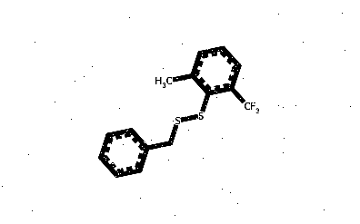 Cc1cccc(C(F)(F)F)c1SSCc1ccccc1